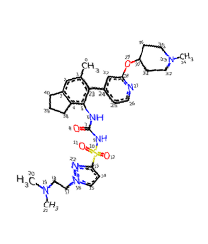 Cc1cc2c(c(NC(=O)NS(=O)(=O)c3ccn(CCN(C)C)n3)c1-c1ccnc(OC3CCN(C)CC3)c1)CCC2